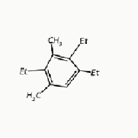 CCc1cc(C)c(CC)c(C)c1CC